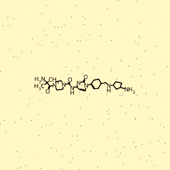 CC(C)(N)C(=O)N1CCN(C(=O)Nc2ccn(C3=CCC(CN[C@H]4CCC(N)C4)CC3)c(=O)n2)CC1